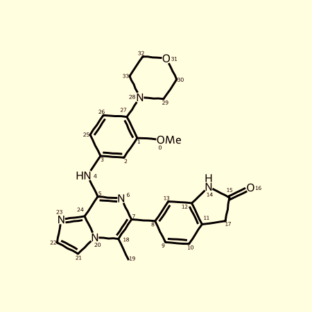 COc1cc(Nc2nc(-c3ccc4c(c3)NC(=O)C4)c(C)n3ccnc23)ccc1N1CCOCC1